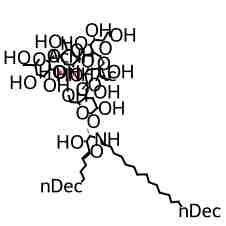 CCCCCCCCCCCCC/C=C/[C@@H](O)[C@H](CO[C@@H]1OC(CO)[C@@H](O[C@@H]2OC(CO)[C@H](O[C@@H]3OC(CO)[C@H](O)[C@H](O)C3NC(C)=O)[C@H](O[C@@H]3OC(CO)[C@@H](O[C@@H]4OC(CO)[C@H](O)[C@H](O)C4O)[C@H](O)C3NC(C)=O)C2O)[C@H](O)C1O)NC(=O)CCCCCCCCCCCCCCCCCCCCCCC